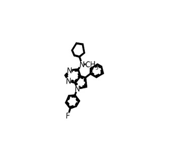 CN(c1ncnc2c1c(-c1ccccc1)cn2-c1ccc(F)cc1)C1CCCCC1